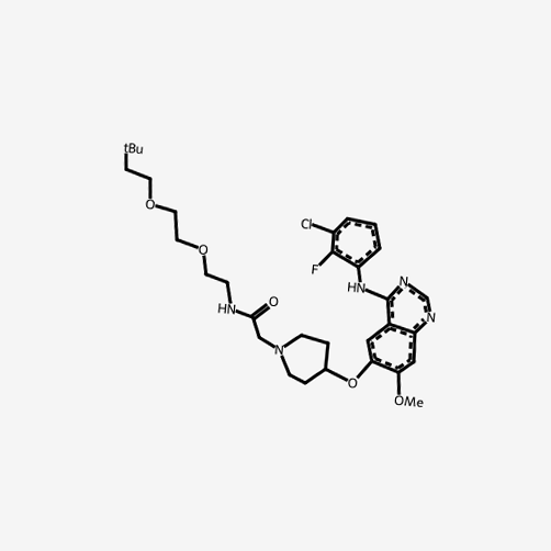 COc1cc2ncnc(Nc3cccc(Cl)c3F)c2cc1OC1CCN(CC(=O)NCCOCCOCCC(C)(C)C)CC1